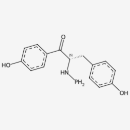 O=C(c1ccc(O)cc1)[C@H](Cc1ccc(O)cc1)NP